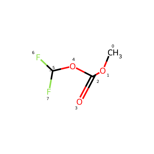 COC(=O)O[C](F)F